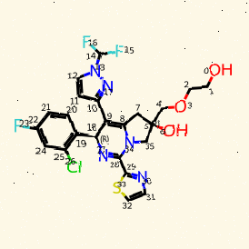 OCCOC[C@@]1(O)CC2=C(c3ccn(C(F)F)n3)[C@H](c3ccc(F)cc3Cl)N=C(c3nccs3)N2C1